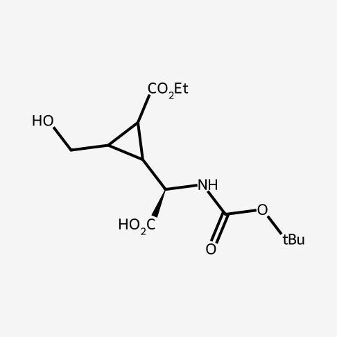 CCOC(=O)C1C(CO)C1[C@@H](NC(=O)OC(C)(C)C)C(=O)O